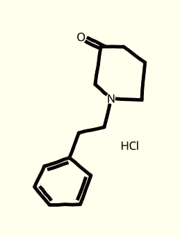 Cl.O=C1CCCN(CCc2ccccc2)C1